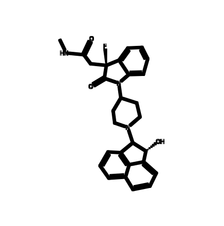 CNC(=O)C[C@@]1(F)C(=O)N(C2CCN(C3c4cccc5cccc(c45)[C@H]3O)CC2)c2ccccc21